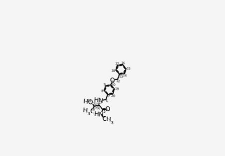 CNC(=O)[C@@H](NCc1ccc(OCc2ccccc2)cc1)[C@@H](C)O